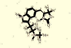 [2H]N1C(=O)OC([2H])([2H])[C@@H]1Cc1ccc2c(c1)c(C([2H])([2H])C([2H])([2H])N(C)C([2H])([2H])[2H])cn2[2H]